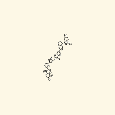 CCc1nc(-c2cccc3cc(-c4ccc(C(=O)NCc5cc(-c6cccc(C(=O)NC7CCC(=O)NC7=O)n6)nn5C)nc4)ncc23)c2n1CCN(C(C)=O)C2